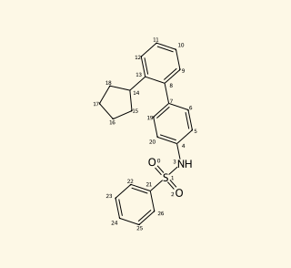 O=S(=O)(Nc1ccc(-c2ccccc2C2CCCC2)cc1)c1ccccc1